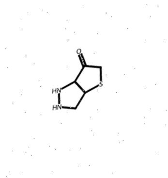 O=C1CSC2CNNC12